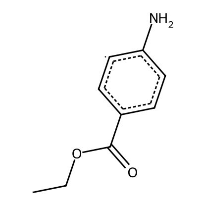 CCOC(=O)c1c[c]c(N)cc1